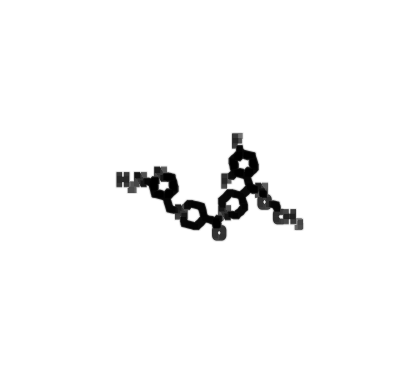 CCON=C(c1ccc(F)cc1F)C1CCN(C(=O)C2CCN(Cc3ccnc(N)c3)CC2)CC1